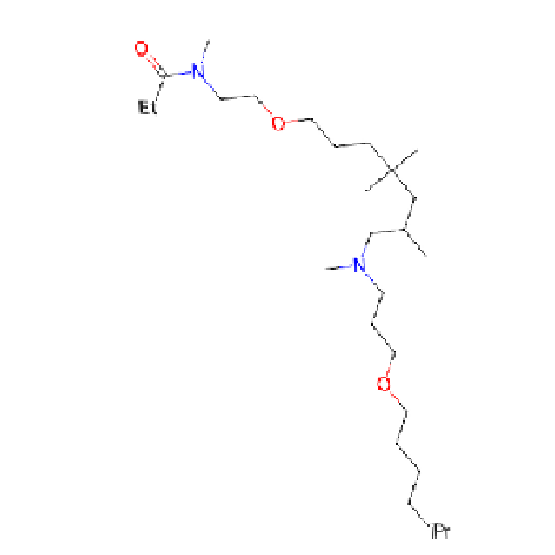 CCC(=O)N(C)CCOCCCC(C)(C)CC(C)CN(C)CCCOCCCCC(C)C